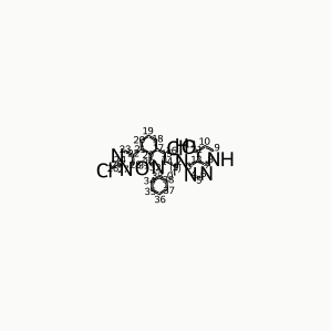 C[C@H](Nc1ncnc2[nH]ccc(=O)c12)c1c(Cl)c2cccc(-c3cnc(Cl)nc3)c2c(=O)n1-c1ccccc1